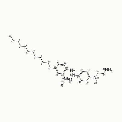 CCCCCCCCCCCCc1ccc(/N=N/c2ccc(N(C)CCN)cc2)c([N+](=O)[O-])c1